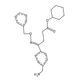 NCc1ccc(C(CCC(=O)OC2CCCCC2)=NOCc2ccccc2)cc1